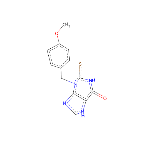 COc1ccc(Cn2c(=S)[nH]c(=O)c3[nH]cnc32)cc1